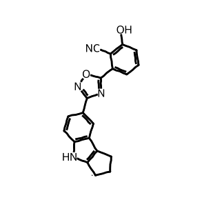 N#Cc1c(O)cccc1-c1nc(-c2ccc3[nH]c4c(c3c2)CC[CH]4)no1